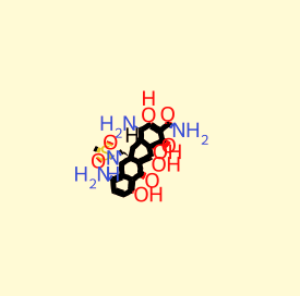 CS(=O)(=O)NC[C@@]12Cc3c(N)ccc(O)c3C(=O)C1=C(O)[C@]1(O)C(=O)C(C(N)=O)=C(O)[C@@H](N)[C@@H]1C2